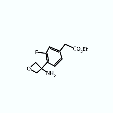 CCOC(=O)Cc1ccc(C2(N)COC2)c(F)c1